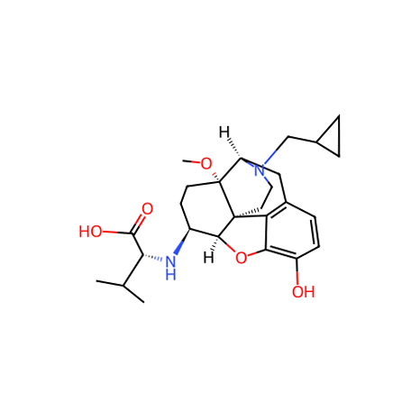 CO[C@@]12CC[C@H](N[C@@H](C(=O)O)C(C)C)[C@@H]3Oc4c(O)ccc5c4[C@@]31CCN(CC1CC1)[C@@H]2C5